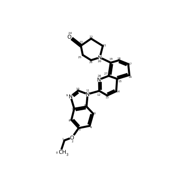 CCOc1ccc2c(c1)ncn2-c1ccc2cccc(N3CCC(=O)CC3)c2n1